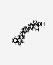 C=CN(C)c1ccccc1C1CCCN(CC2CCN(c3ncc(C(=O)NO)cn3)CC2)C1